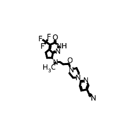 CN(CCC(=O)N1CCN(c2ccc(C#N)cn2)CC1)[C@@H]1CCc2c1n[nH]c(=O)c2C(F)(F)F